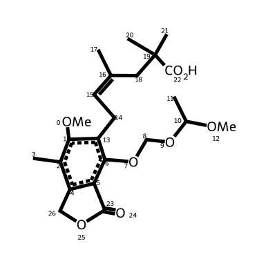 COc1c(C)c2c(c(OCOC(C)OC)c1CC=C(C)CC(C)(C)C(=O)O)C(=O)OC2